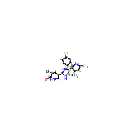 CCc1cc(C2=N[C@@](c3ccc(F)cc3)(c3ccc(C(F)(F)F)nc3)[C@H](C)N2)c[nH]c1=O